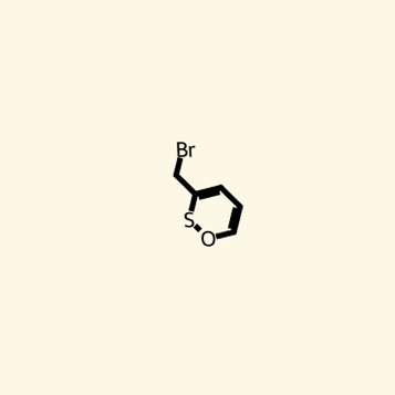 BrCC1=CC=COS1